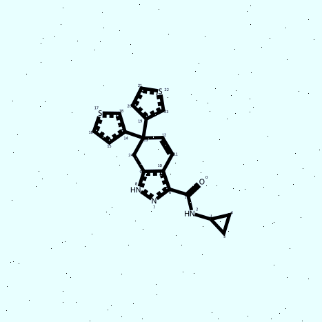 O=C(NC1CC1)c1n[nH]c2c1C=CC(c1ccsc1)(c1ccsc1)C2